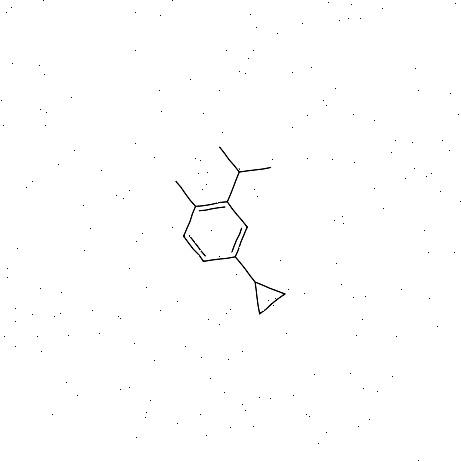 C[C](C)c1cc(C2CC2)ccc1C